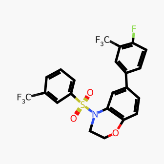 O=S(=O)(c1cccc(C(F)(F)F)c1)N1CCOc2ccc(-c3ccc(F)c(C(F)(F)F)c3)cc21